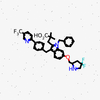 CC(C)(Cc1c(Cc2ccc(-c3ccc(C(F)(F)F)cn3)cc2)c2ccc(OCC3CC(F)(F)CN3)cc2n1Cc1ccccc1)C(=O)O